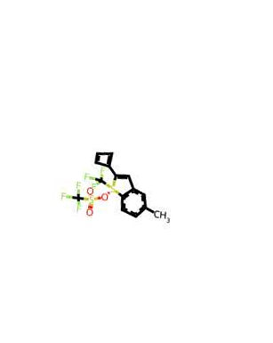 Cc1ccc2c(c1)C=C(C1=CC=C1)S2(OS(=O)(=O)C(F)(F)F)C(F)(F)F